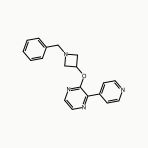 c1ccc(CN2CC(Oc3nccnc3-c3ccncc3)C2)cc1